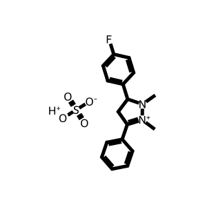 CN1C(c2ccc(F)cc2)CC(c2ccccc2)=[N+]1C.O=S(=O)([O-])[O-].[H+]